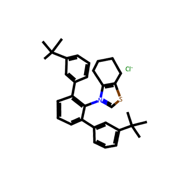 CC(C)(C)c1cccc(-c2cccc(-c3cccc(C(C)(C)C)c3)c2-[n+]2csc3c2CCCC3)c1.[Cl-]